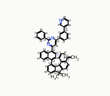 C=Cc1ccc2c(c1/C=C\C)-c1c(-c3ccc(-c4cc(-c5cccc(-c6cccnc6)c5)nc(-c5ccccc5)n4)c4ccccc34)cccc1C2(C)C